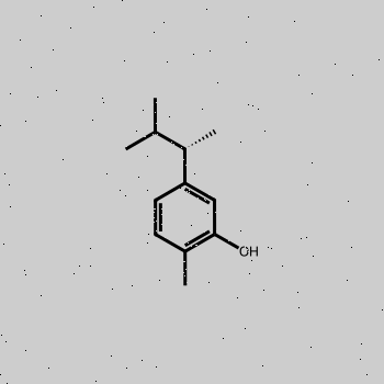 Cc1ccc([C@@H](C)C(C)C)cc1O